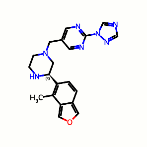 Cc1c([C@@H]2CN(Cc3cnc(-n4cncn4)nc3)CCN2)ccc2cocc12